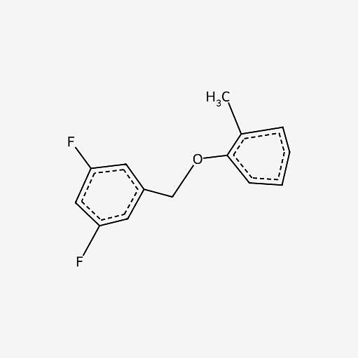 Cc1ccccc1OCc1cc(F)cc(F)c1